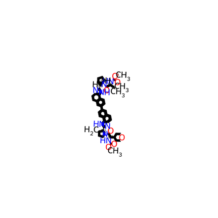 C=C1CCN(C(=O)[C@@H](NC(=O)OC)C2CCOCC2)[C@@H]1c1nc2ccc3cc(-c4ccc5c(c4)CCc4nc([C@@H]6[C@H]7CC[C@H](C7)N6C(=O)[C@@H](NC(=O)OC)C(C)C)[nH]c4-5)ccc3c2[nH]1